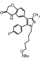 CCCCOCCCCCn1nc(C)c(-c2ccc3c(c2)NC(=O)CO3)c1-c1ccc(F)cc1